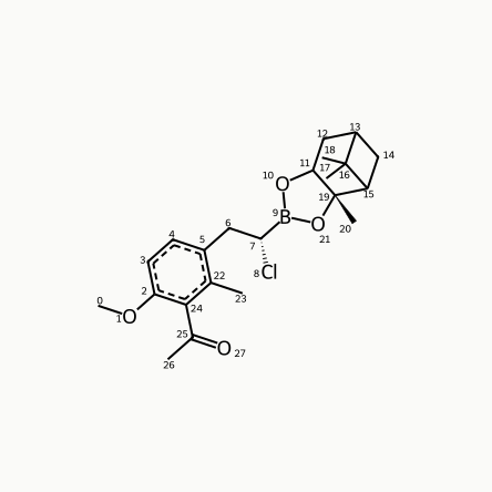 COc1ccc(C[C@@H](Cl)B2OC3CC4CC(C4(C)C)[C@]3(C)O2)c(C)c1C(C)=O